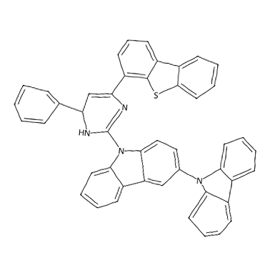 C1=C(c2cccc3c2sc2ccccc23)N=C(n2c3ccccc3c3cc(-n4c5ccccc5c5ccccc54)ccc32)NC1c1ccccc1